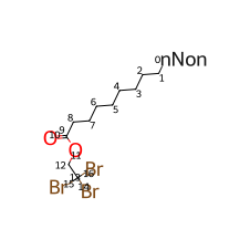 CCCCCCCCCCCCCCCCCC(=O)OCC(Br)(Br)Br